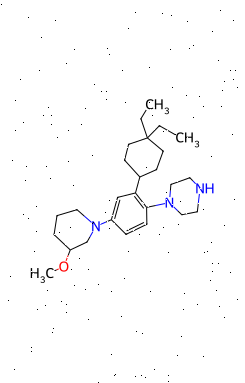 CCC1(CC)CCC(c2cc(N3CCCC(OC)C3)ccc2N2CCNCC2)CC1